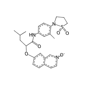 Cc1cc(NC(=O)C(CC(C)C)Oc2ccc3cc[n+]([O-])cc3c2)ccc1N1CCCS1(=O)=O